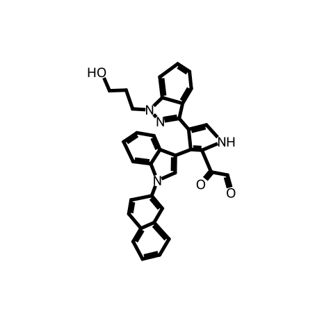 O=CC(=O)c1[nH]cc(-c2nn(CCCO)c3ccccc23)c1-c1cn(-c2ccc3ccccc3c2)c2ccccc12